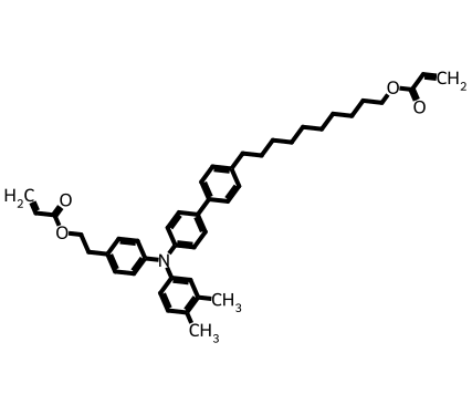 C=CC(=O)OCCCCCCCCCCc1ccc(-c2ccc(N(c3ccc(CCOC(=O)C=C)cc3)c3ccc(C)c(C)c3)cc2)cc1